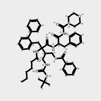 CCCCCC(=O)NC(Cc1ccccc1-c1ccccc1)(C(=O)NC(Cc1ccccc1)C(=O)NC(=O)N1CCOCC1)C(CNC(=O)OC(C)(C)C)COC(=O)c1ccccc1